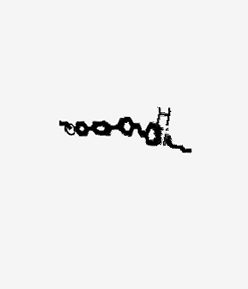 CCCCC[SiH]1CCC(CCC2CCC(c3ccc(-c4ccc(OCC)cc4)cc3)CC2)CC1